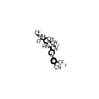 C=N/C(=C\C(=C/C)C(=O)NCC(F)(F)F)Nc1ncnc2c1CCN(c1ccc(C#N)c(C(F)(F)F)c1)C2